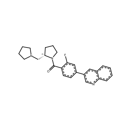 O=C(c1ccc(-c2cnc3ccccc3c2)cc1F)N1CCC[C@H]1CN1CCCC1